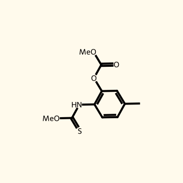 COC(=O)Oc1cc(C)ccc1NC(=S)OC